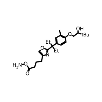 CCC(CC)(c1ccc(OCC(O)C(C)(C)C)c(C)c1)c1nc(CCCC(=O)ON)co1